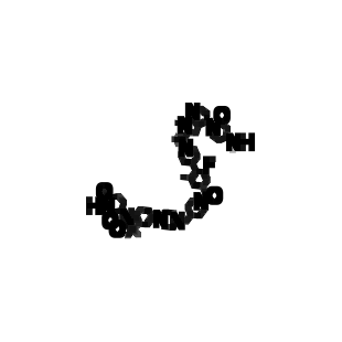 CNc1ccn(-c2ccnc3c2cc([C@H](C)N2CC=C(c4c(C)cc(C(=O)N5CCC(CN6CCN(c7ccc8c(c7)C(C)(C)C(=O)N8C7CCC(=O)NC7=O)CC6)CC5)cc4F)CC2)n3C)c(=O)c1